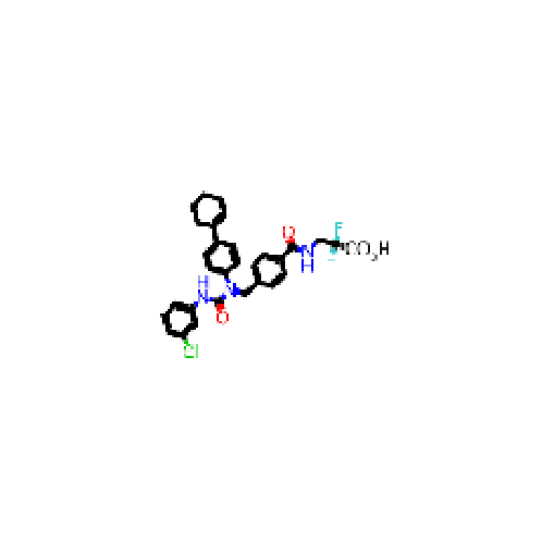 O=C(NCC(F)(F)C(=O)O)c1ccc(CN(C(=O)Nc2cccc(Cl)c2)c2ccc(C3=CCCCC3)cc2)cc1